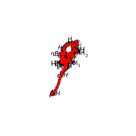 CCCC[C@H](NC(=O)[C@H](CCCNC(=N)N)NC(=O)[C@H](Cc1c[nH]cn1)NC(=O)[C@H](CCC(N)=O)NC(=O)[C@H](CO)NC(=O)CNC(=O)COCCOCCNC(=O)CCCCCCCCCCCCCCCc1nnn[nH]1)C(=O)N[C@H]1CCC(=O)NCCCC[C@@H](C(C)=O)NC(=O)[C@H](Cc2c[nH]c3ccccc23)NC(=O)[C@H](CCCNC(=N)N)NC(=O)[C@@H](Cc2ccccc2)NC(=O)[C@@H]2C[C@@H](O)CN2C1=O